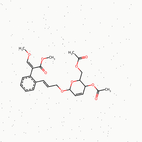 COC=C(C(=O)OC)c1ccccc1C=CCOC1C=CC(OC(C)=O)C(COC(C)=O)O1